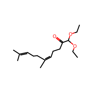 CCOC(OCC)C(=O)CCC=C(C)CCC=C(C)C